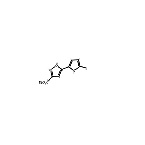 CCOC(=O)c1cc(-c2ccc(C)s2)on1